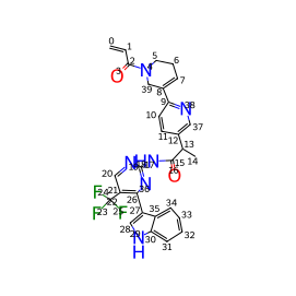 C=CC(=O)N1CCC=C(c2ccc(C(C)C(=O)Nc3ncc(C(F)(F)F)c(-c4c[nH]c5ccccc45)n3)cn2)C1